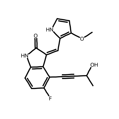 COc1cc[nH]c1C=C1C(=O)Nc2ccc(F)c(C#CC(C)O)c21